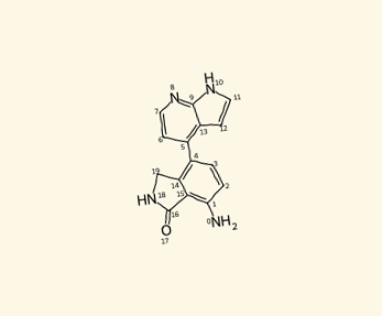 Nc1ccc(-c2ccnc3[nH]ccc23)c2c1C(=O)NC2